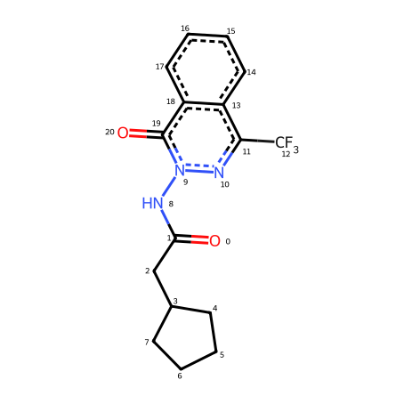 O=C(CC1CCCC1)Nn1nc(C(F)(F)F)c2ccccc2c1=O